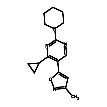 Cc1cc(-c2cnc(N3CCCCC3)nc2C2CC2)on1